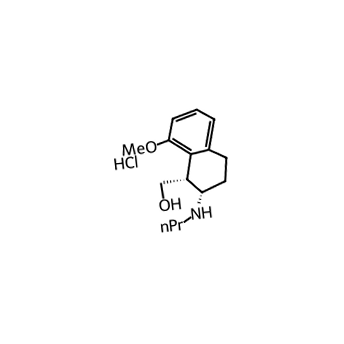 CCCN[C@H]1CCc2cccc(OC)c2[C@H]1CO.Cl